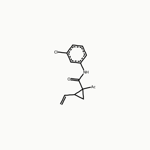 C=CC1CC1(C(C)=O)C(=O)Nc1cccc(Cl)c1